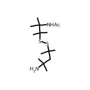 CC(=O)NC(C)(C)C(C)(C)SSC(C)(C)CC(C)(C)N